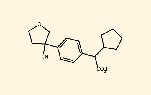 N#CC1(c2ccc(C(C(=O)O)C3CCCC3)cc2)CCOC1